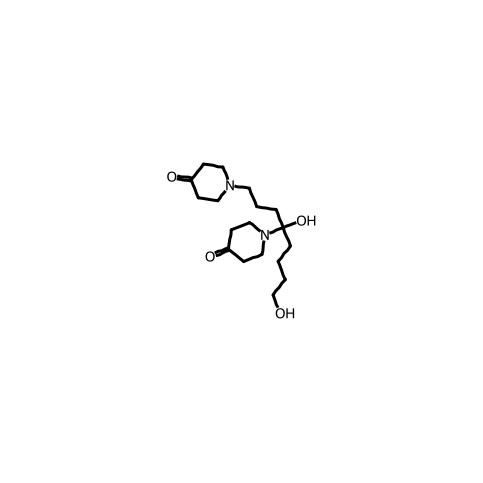 O=C1CCN(CCCC(O)(CCCCO)N2CCC(=O)CC2)CC1